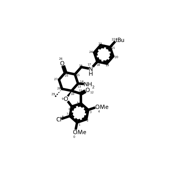 COc1cc(OC)c2c(c1Cl)O[C@]1(C2=O)C(N)C(CNc2ccc(C(C)(C)C)cc2)C(=O)C[C@H]1C